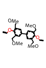 C=COc1c(COC)cc(-c2cc(COC)c(OC=C)c(COC)c2)cc1COC